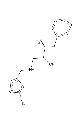 CCc1cc(CNC[C@@H](O)[C@@H](N)Cc2ccccc2)cs1